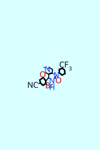 CN1CCC2=C(C1=O)C(c1ccc(C#N)cc1Br)NC(=O)N2c1cccc(C(F)(F)F)c1